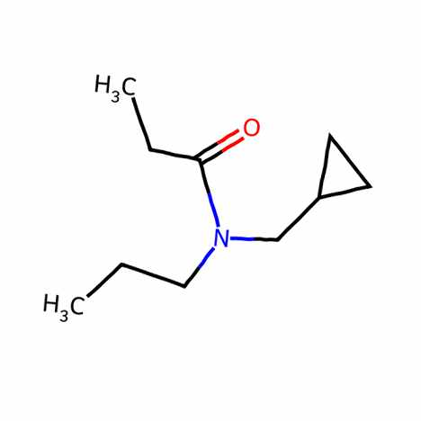 CCCN(CC1CC1)C(=O)CC